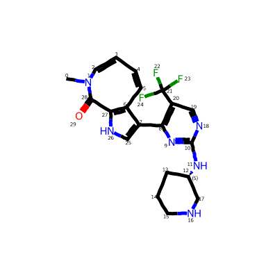 CN1C=CC=Cc2c(-c3nc(N[C@H]4CCCNC4)ncc3C(F)(F)F)c[nH]c2C1=O